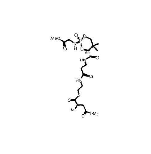 COC(=O)CNP1(=O)OCC(C)(C)[C@H](C(=O)NCCC(=O)NCCSC(=O)C(CC(=O)OC)C(C)=O)O1